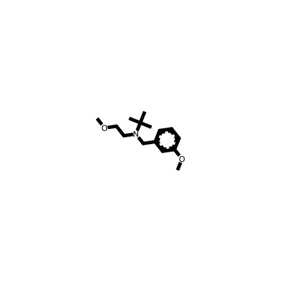 COCCN(Cc1cccc(OC)c1)C(C)(C)C